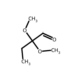 CCC([C]=O)(OC)OC